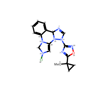 COC1(c2nc(N3C=NC4c5ccccc5N5CN(Cl)C=C5N43)no2)CC1